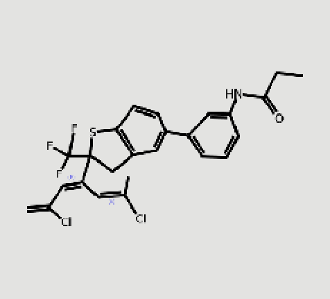 C=C(Cl)/C=C(\C=C(/C)Cl)C1(C(F)(F)F)Cc2cc(-c3cccc(NC(=O)CC)c3)ccc2S1